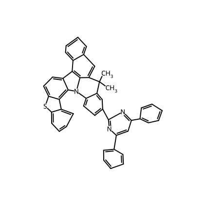 CC1(C)c2cc(-c3nc(-c4ccccc4)cc(-c4ccccc4)n3)ccc2-n2c3c1cc1ccccc1c3c1ccc3sc4ccccc4c3c12